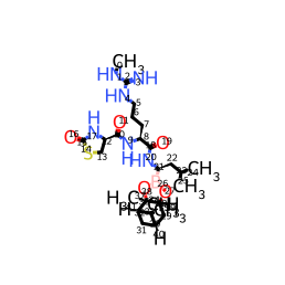 CNC(=N)NCCC[C@H](NC(=O)[C@H]1CSC(=O)N1)C(=O)N[C@@H](CC(C)C)B1O[C@@H]2C[C@@H]3C[C@@H](C3(C)C)[C@]2(C)O1